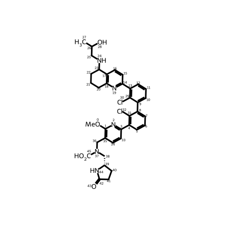 COc1nc(-c2cccc(-c3cccc(-c4ccc5c(n4)CCCC5NCC(C)O)c3Cl)c2Cl)ccc1CN(C[C@@H]1CCC(=O)N1)C(=O)O